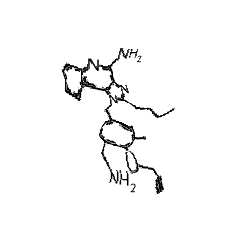 C#CCOc1c(C)cc(Cn2c(CCCC)nc3c(N)nc4ccccc4c32)cc1CN